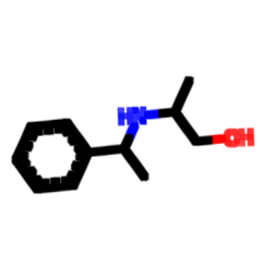 CC(CO)NC(C)c1ccccc1